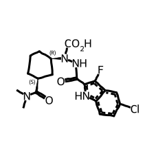 CN(C)C(=O)[C@H]1CCC[C@@H](N(NC(=O)c2[nH]c3ccc(Cl)cc3c2F)C(=O)O)C1